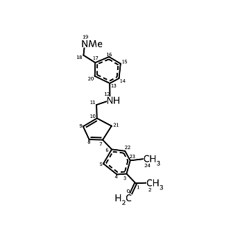 C=C(C)c1ccc(C2=CC=C(CNc3cccc(CNC)c3)C2)cc1C